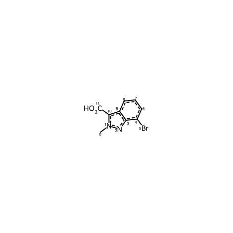 Cn1nc2c(Br)cccc2c1C(=O)O